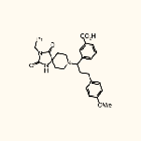 COc1ccc(CCC(c2cccc(C(=O)O)c2)N2CCC3(CC2)NC(=O)N(CC(C)C)C3=O)cc1